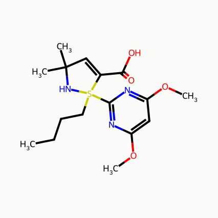 CCCCS1(c2nc(OC)cc(OC)n2)NC(C)(C)C=C1C(=O)O